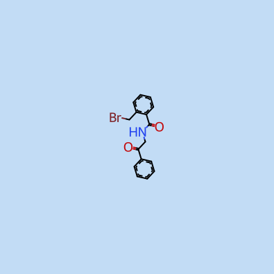 O=C(CNC(=O)c1ccccc1CBr)c1ccccc1